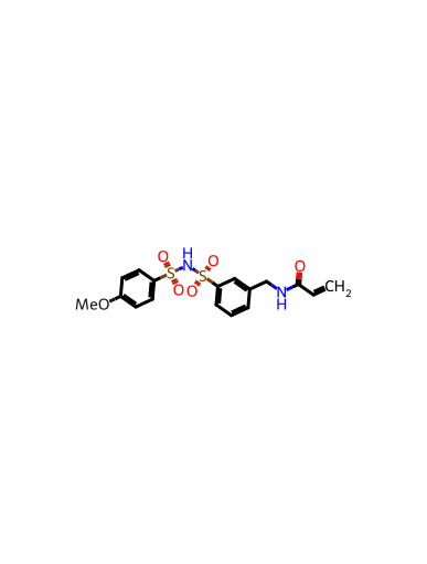 C=CC(=O)NCc1cccc(S(=O)(=O)NS(=O)(=O)c2ccc(OC)cc2)c1